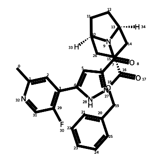 Cc1cc(-c2cc(C(=O)N3[C@@H]4CC[C@H]3C[C@H](C(=O)OCc3ccccc3)C4)n[nH]2)c(F)cn1